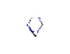 C1NCN2C3C2N13